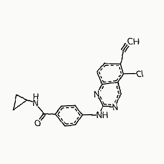 C#Cc1ccc2nc(Nc3ccc(C(=O)NC4CC4)cc3)ncc2c1Cl